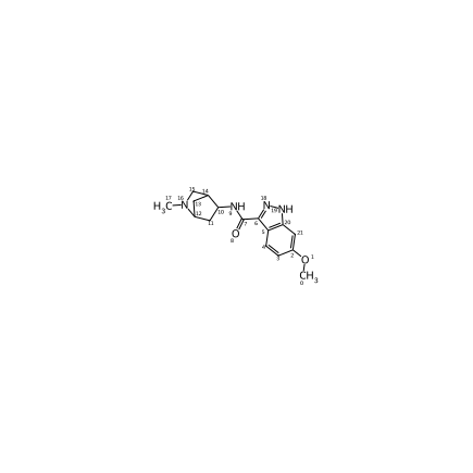 COc1ccc2c(C(=O)NC3CC4CC3CN4C)n[nH]c2c1